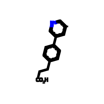 O=C(O)CCc1ccc(-c2c[c]cnc2)cc1